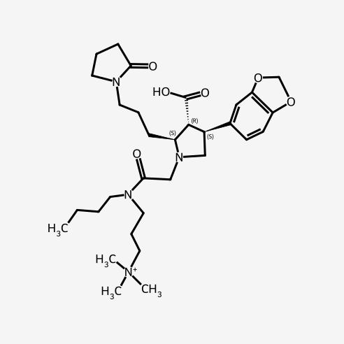 CCCCN(CCC[N+](C)(C)C)C(=O)CN1C[C@H](c2ccc3c(c2)OCO3)[C@@H](C(=O)O)[C@@H]1CCCN1CCCC1=O